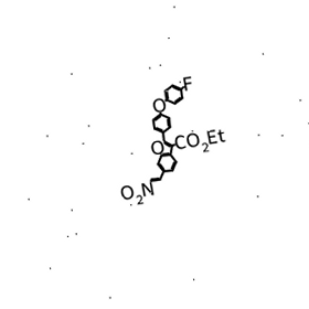 CCOC(=O)c1c(-c2ccc(Oc3ccc(F)cc3)cc2)oc2cc(C=C[N+](=O)[O-])ccc12